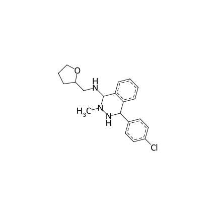 CN1NC(c2ccc(Cl)cc2)c2ccccc2C1NCC1CCCO1